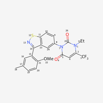 CCn1c(C(F)(F)F)cc(=O)n(-c2ccc3snc(-c4cc(C)ccc4OC)c3c2)c1=O